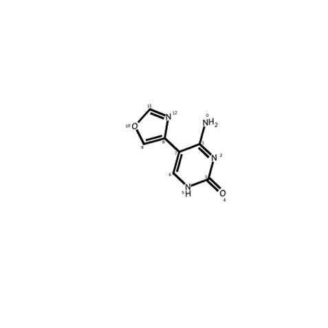 Nc1nc(=O)[nH]cc1-c1cocn1